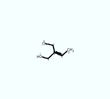 CC=C(CO)CCl